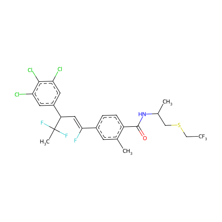 Cc1cc(/C(F)=C/C(c2cc(Cl)c(Cl)c(Cl)c2)C(C)(F)F)ccc1C(=O)NC(C)CSCC(F)(F)F